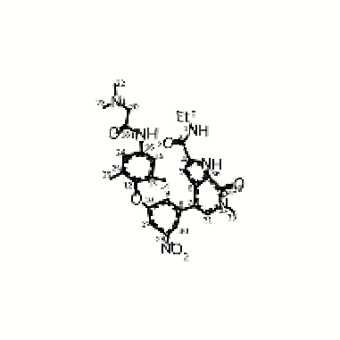 CCNC(=O)c1cc2c(-c3cc(Oc4c(C)cc(NC(=O)CN(C)C)cc4C)cc([N+](=O)[O-])c3)cn(C)c(=O)c2[nH]1